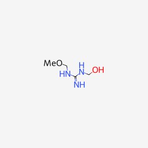 COCNC(=N)NCO